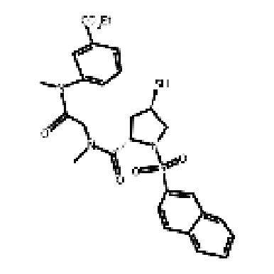 CCOC(=O)c1cccc(N(C)C(=O)CN(C)C(=O)[C@@H]2C[C@@H](S)CN2S(=O)(=O)c2ccc3ccccc3c2)c1